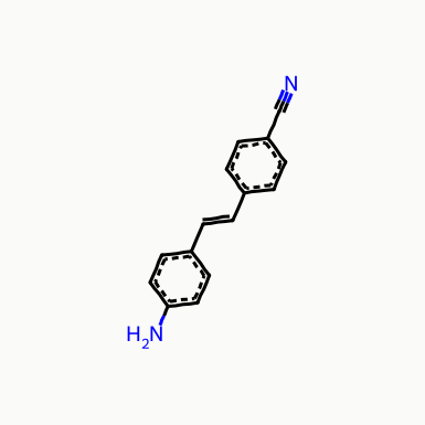 N#Cc1ccc(C=Cc2ccc(N)cc2)cc1